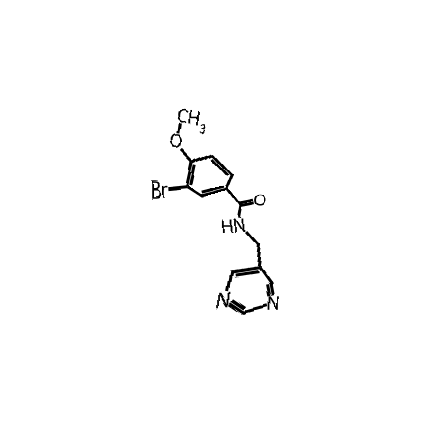 COc1ccc(C(=O)NCc2cncnc2)cc1Br